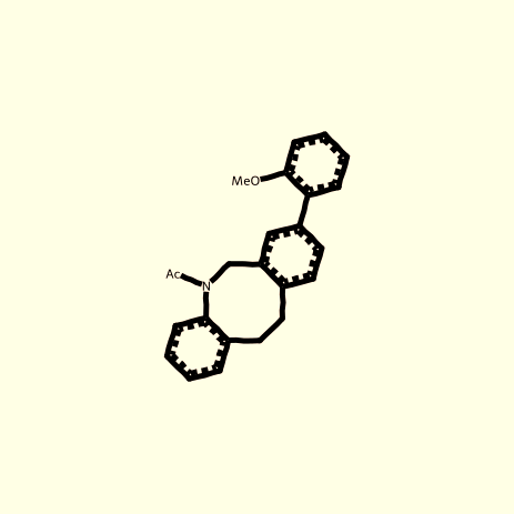 COc1ccccc1-c1ccc2c(c1)CN(C(C)=O)c1ccccc1CC2